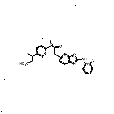 CC(CC(=O)O)c1ccc(N(C)C(=O)Cc2ccc3nc(Nc4ccccc4Cl)oc3c2)cn1